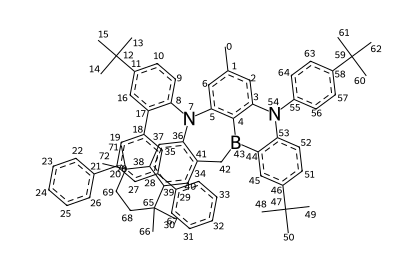 Cc1cc2c3c(c1)N(c1ccc(C(C)(C)C)cc1-c1cc(-c4ccccc4)cc(-c4ccccc4)c1)c1cc4c(cc1CB3c1cc(C(C)(C)C)ccc1N2c1ccc(C(C)(C)C)cc1)C(C)(C)CCC4(C)C